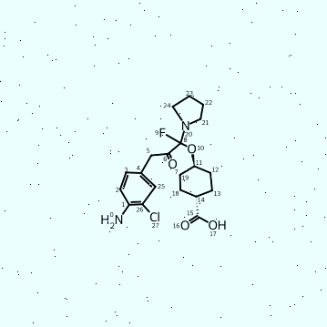 Nc1ccc(CC(=O)C(F)(O[C@H]2CC[C@H](C(=O)O)CC2)N2CCCC2)cc1Cl